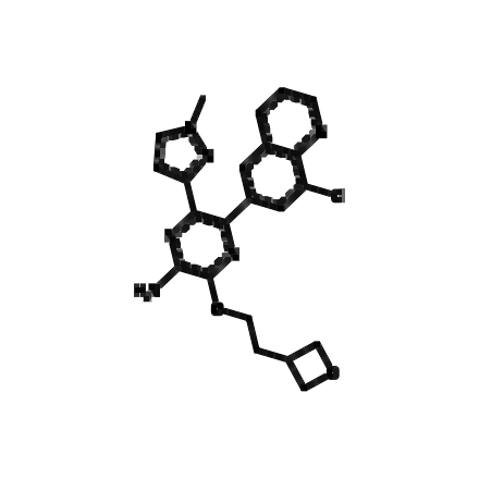 Cn1ccc(-c2nc(N)c(OCCC3COC3)nc2-c2cc(Cl)c3ncccc3c2)n1